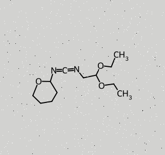 CCOC(CN=C=NC1CCCCO1)OCC